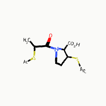 CC(=O)SC(C)C(=O)N1CCC(SC(C)=O)C1C(=O)O